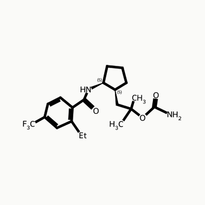 CCc1cc(C(F)(F)F)ccc1C(=O)N[C@H]1CCC[C@H]1CC(C)(C)OC(N)=O